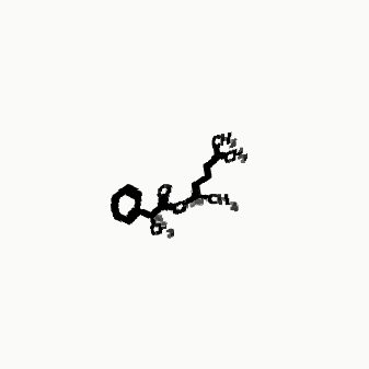 CC(C)=CCC[C@@H](C)OC(=O)[C@H](c1ccccc1)C(F)(F)F